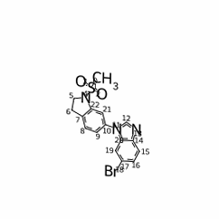 CS(=O)(=O)N1CCc2ccc(-n3cnc4ccc(Br)cc43)cc21